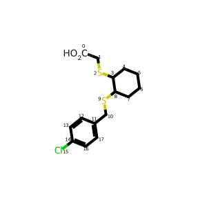 O=C(O)CSC1CCCCC1SCc1ccc(Cl)cc1